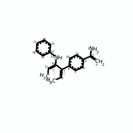 C=C(N)c1ccc(C(=C/C)/C(=C\C)Nc2ccccc2)cc1